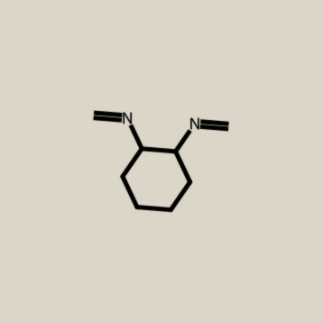 C=NC1CCCCC1N=C